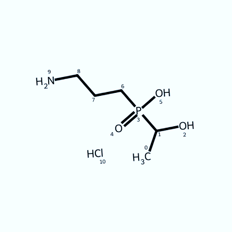 CC(O)P(=O)(O)CCCN.Cl